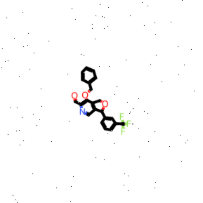 O=Cc1ncc2c(c1OCc1ccccc1)COC2c1cccc(C(F)(F)F)c1